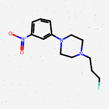 O=[N+]([O-])c1cccc(N2CCN(CCCF)CC2)c1